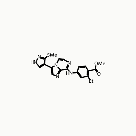 CCc1cc(Nc2nccn3c(-c4c[nH]nc4SC)cnc23)ccc1C(=O)OC